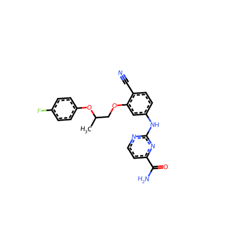 CC(COc1cc(Nc2nccc(C(N)=O)n2)ccc1C#N)Oc1ccc(F)cc1